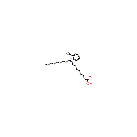 CCCCCCCC/C=C\CCCCCCCC(=O)O.Cc1ccccc1.[Co]